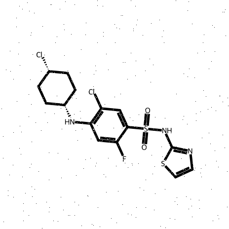 O=S(=O)(Nc1nccs1)c1cc(Cl)c(N[C@H]2CC[C@@H](Cl)CC2)cc1F